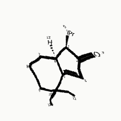 CC(C)[C@H]1C(=O)C=C2[C@H]1CCCC2(C)C